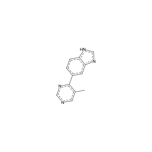 Cc1[c]ncnc1-c1ccc2[nH]cnc2c1